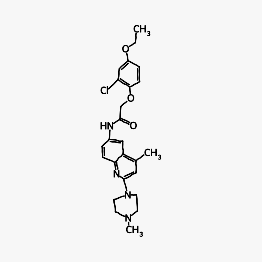 CCOc1ccc(OCC(=O)Nc2ccc3nc(N4CCN(C)CC4)cc(C)c3c2)c(Cl)c1